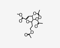 COC(=O)C1=C[C@@H](OC(C)=O)[C@@H](OC(C)=O)C(CCOC(C)=O)O1